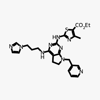 CCOC(=O)c1sc(Nc2nc(NCCCn3ccnc3)c3c(n2)N(Cc2cccnc2)CC3)nc1C